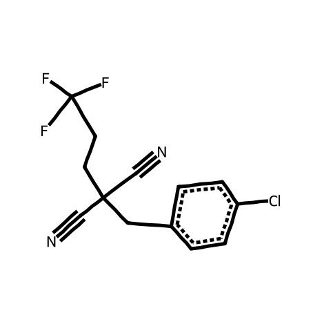 N#CC(C#N)(CCC(F)(F)F)Cc1ccc(Cl)cc1